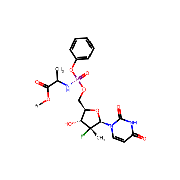 CC(C)OC(=O)C(C)N[P@](=O)(OC[C@H]1O[C@@H](n2ccc(=O)[nH]c2=O)[C@](C)(F)[C@@H]1O)Oc1ccccc1